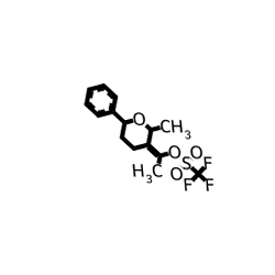 C/C(OS(=O)(=O)C(F)(F)F)=C1\CCC(c2ccccc2)OC1C